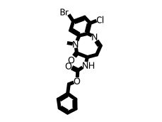 CN1C(=O)C(NC(=O)OCc2ccccc2)CC=Nc2c(Cl)cc(Br)cc21